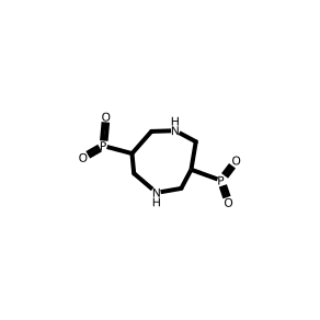 O=P(=O)C1CNCC(P(=O)=O)CNC1